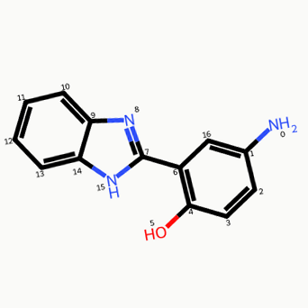 Nc1ccc(O)c(-c2nc3ccccc3[nH]2)c1